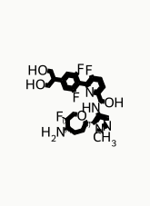 Cn1ncc(NC(O)c2ccc(F)c(-c3c(F)cc(C(CO)CO)cc3F)n2)c1[C@@H]1CC[C@@H](N)[C@H](F)CO1